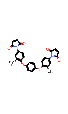 O=C1C=CC(=O)N1c1ccc(Oc2ccc(Oc3ccc(N4C(=O)C=CC4=O)cc3C(F)(F)F)cc2)c(C(F)(F)F)c1